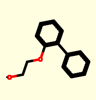 [O]CCOc1ccccc1-c1ccccc1